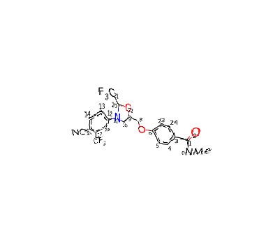 CNC(=O)c1ccc(OCC2CN(c3ccc(C#N)c(C(F)(F)F)c3)C(C(F)(F)F)O2)cc1